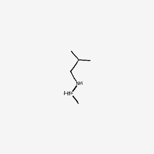 CPNCC(C)C